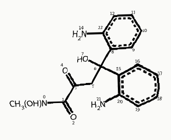 CN(O)C(=O)C(=O)CC(O)(c1ccccc1N)c1ccccc1N